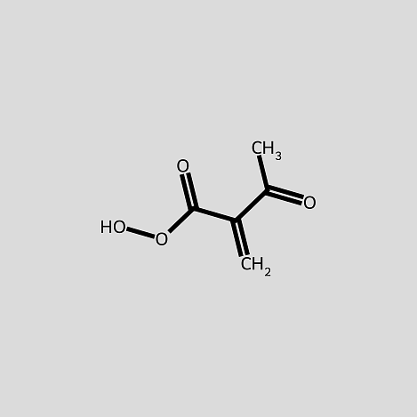 C=C(C(C)=O)C(=O)OO